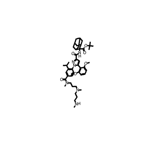 CNCCCN(C)CCCN(C)C(=O)c1c#cc(-n2nc(C(=O)NC3(C(=O)OC(C)(C)C)C4CC5CC(C4)CC3C5)cc2-c2c(O)cccc2OC)c(C(C)C)c1